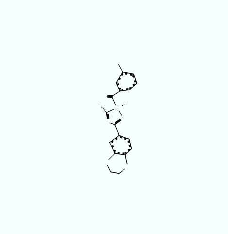 NC1=NC(c2ccc3c(c2)OCCO3)=N[N+]1(N)C(=O)c1cccc(Cl)c1